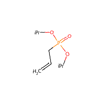 C=CCP(=O)(OC(C)C)OC(C)C